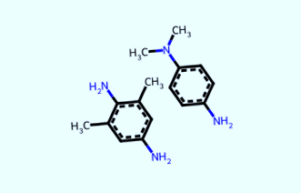 CN(C)c1ccc(N)cc1.Cc1cc(N)cc(C)c1N